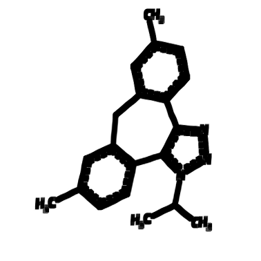 Cc1ccc2c(c1)Cc1cc(C)ccc1-c1c-2nnn1C(C)C